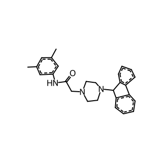 Cc1cc(C)cc(NC(=O)CN2CCN(C3c4ccccc4-c4ccccc43)CC2)c1